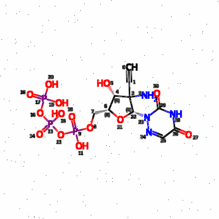 C#CC1(N)[C@@H](O)[C@@H](COP(=O)(O)OP(=O)(O)OP(=O)(O)O)O[C@H]1n1ncc(=O)[nH]c1=O